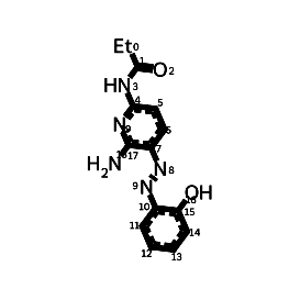 CCC(=O)Nc1ccc(/N=N/c2ccccc2O)c(N)n1